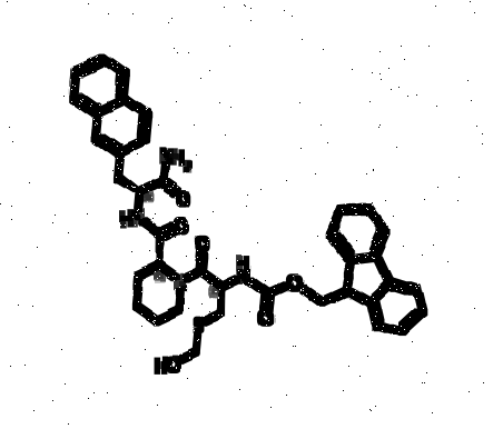 NC(=O)[C@H](Cc1ccc2ccccc2c1)NC(=O)[C@@H]1CCCCN1C(=O)[C@H](CSCO)NC(=O)OCC1c2ccccc2-c2ccccc21